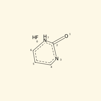 F.O=c1nccc[nH]1